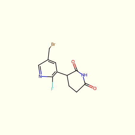 O=C1CCC(c2cc(CBr)cnc2F)C(=O)N1